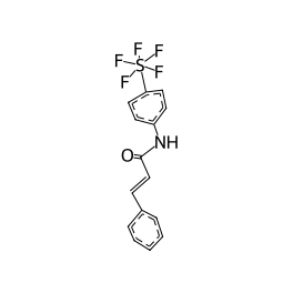 O=C(C=Cc1ccccc1)Nc1ccc(S(F)(F)(F)(F)F)cc1